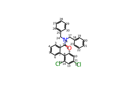 O=C(c1ccccc1-c1ccc(Cl)cc1Cl)N(Cc1ccccc1)Cc1ccccc1